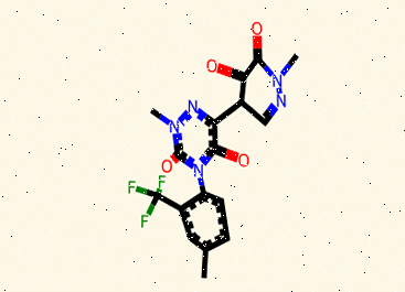 Cc1ccc(-n2c(=O)c(C3C=NN(C)C(=O)C3=O)nn(C)c2=O)c(C(F)(F)F)c1